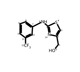 OCc1csc(Nc2cccc(C(F)(F)F)c2)n1